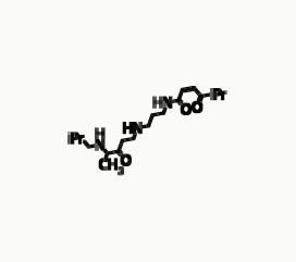 CC(C)CNC(C)C(=O)CCNCCCNC(=O)/C=C\C(=O)C(C)C